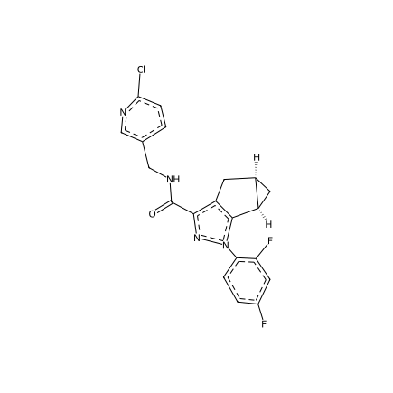 O=C(NCc1ccc(Cl)nc1)c1nn(-c2ccc(F)cc2F)c2c1C[C@H]1C[C@@H]21